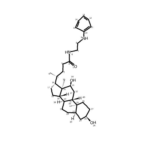 C[C@H](CCC(=O)NCCNc1ccccc1)[C@H]1CC[C@H]2[C@@H]3CC[C@@H]4C[C@H](O)CC[C@]4(C)[C@H]3C[C@H](O)[C@]12C